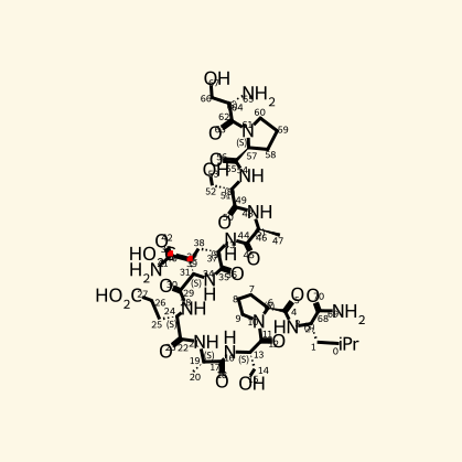 CC(C)C[C@H](NC(=O)[C@@H]1CCCN1C(=O)[C@H](CO)NC(=O)[C@H](C)NC(=O)[C@H](CCC(=O)O)NC(=O)[C@H](CC(=O)O)NC(=O)[C@H](CCC(N)=O)NC(=O)[C@H](C)NC(=O)[C@H](CO)NC(=O)[C@@H]1CCCN1C(=O)[C@@H](N)CO)C(N)=O